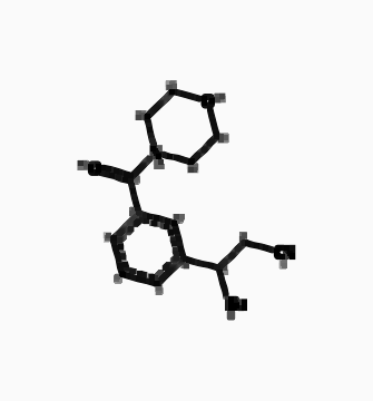 CCC(C)C(CC#N)c1cccc(C(=O)N2CCOCC2)c1